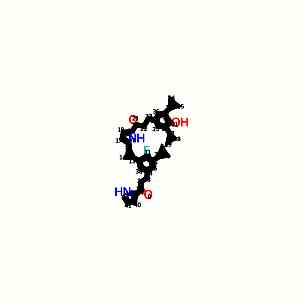 O=C(CCc1cc(C2CC2)c(F)c(C2CC2c2ccc(C(=O)CCc3cc(C4CC4)c(O)c(C4CC4)c3)[nH]2)c1)c1ccc[nH]1